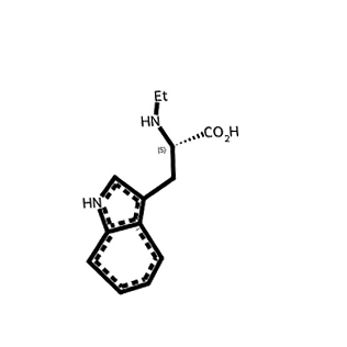 CCN[C@@H](Cc1c[nH]c2ccccc12)C(=O)O